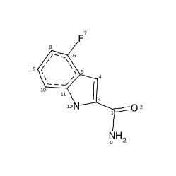 NC(=O)C1=Cc2c(F)cccc2[N]1